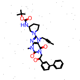 CC#CCn1c(N2CCC[C@@H](NC(=O)OC(C)(C)C)C2)nc2c1c(=O)n(CC(=O)c1cccc(-c3ccccc3)c1)c(=O)n2C